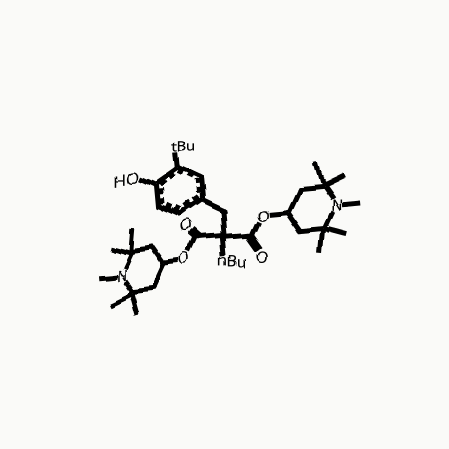 CCCCC(Cc1ccc(O)c(C(C)(C)C)c1)(C(=O)OC1CC(C)(C)N(C)C(C)(C)C1)C(=O)OC1CC(C)(C)N(C)C(C)(C)C1